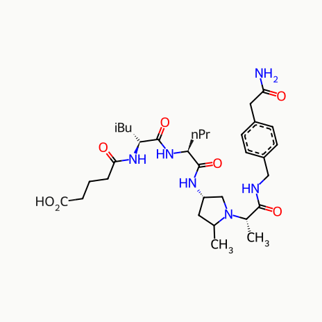 CCC[C@H](NC(=O)[C@@H](NC(=O)CCCC(=O)O)[C@@H](C)CC)C(=O)N[C@H]1CC(C)N([C@@H](C)C(=O)NCc2ccc(CC(N)=O)cc2)C1